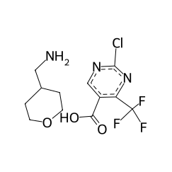 NCC1CCOCC1.O=C(O)c1cnc(Cl)nc1C(F)(F)F